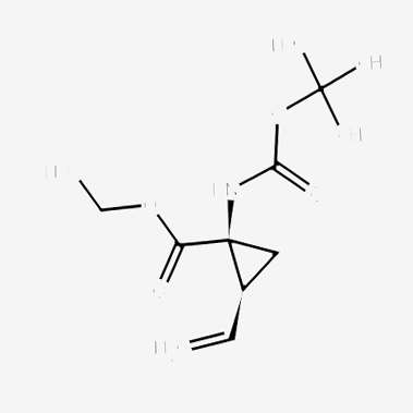 C=C[C@@H]1C[C@@]1(NC(=O)OC(C)(C)C)C(=O)OCC